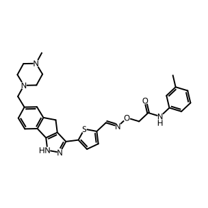 Cc1cccc(NC(=O)CON=Cc2ccc(-c3n[nH]c4c3Cc3cc(CN5CCN(C)CC5)ccc3-4)s2)c1